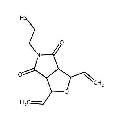 C=CC1OC(C=C)C2C(=O)N(CCS)C(=O)C12